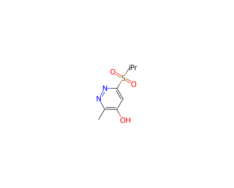 Cc1nnc(S(=O)(=O)C(C)C)cc1O